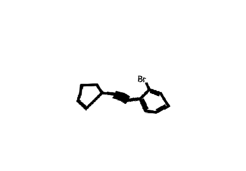 Brc1ccccc1C#CC1CCCC1